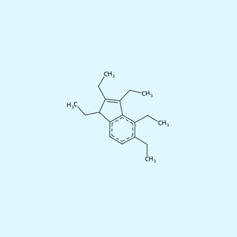 CC[C]1C(CC)=C(CC)c2c1ccc(CC)c2CC